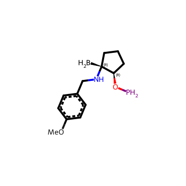 B[C@@]1(NCc2ccc(OC)cc2)CCC[C@H]1OP